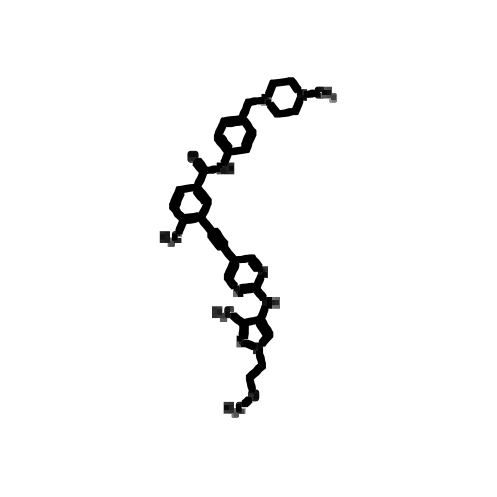 COCCn1cc(Nc2ncc(C#Cc3cc(C(=O)Nc4ccc(CN5CCN(C)CC5)cc4)ccc3C)cn2)c(C)n1